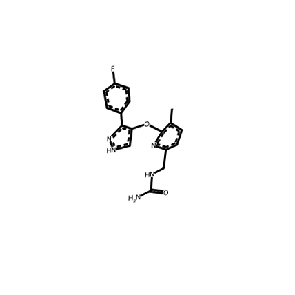 Cc1ccc(CNC(N)=O)nc1Oc1c[nH]nc1-c1ccc(F)cc1